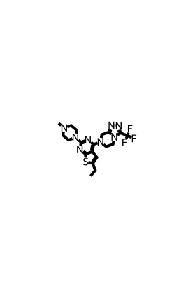 CCc1cc2c(N3CCn4c(nnc4C(F)(F)F)C3)nc(N3CCN(C)CC3)nc2s1